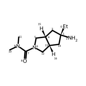 CC[C@]1(N)C[C@H]2CN(C(=O)N(C)C)C[C@H]2C1